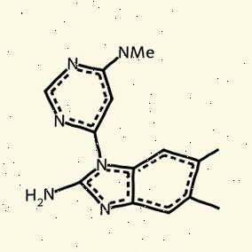 CNc1cc(-n2c(N)nc3cc(C)c(C)cc32)ncn1